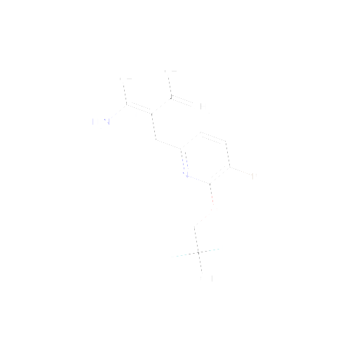 C=C(C)/C(Cc1ccc(Br)c(OCC(C)(F)F)n1)=C(\C)N